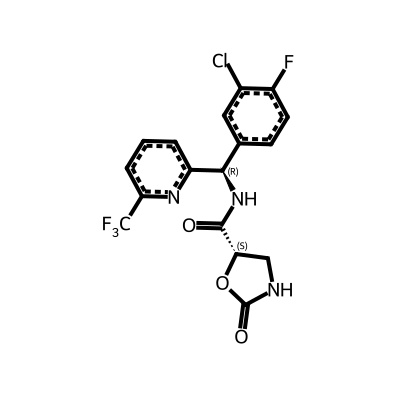 O=C1NC[C@@H](C(=O)N[C@H](c2ccc(F)c(Cl)c2)c2cccc(C(F)(F)F)n2)O1